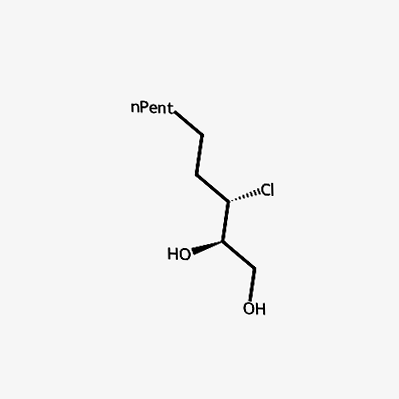 CCCCCCC[C@H](Cl)[C@H](O)CO